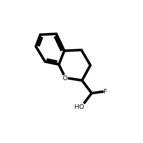 OC(F)C1CCc2ccccc2O1